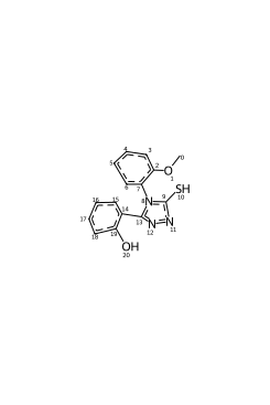 COc1ccccc1-n1c(S)nnc1-c1ccccc1O